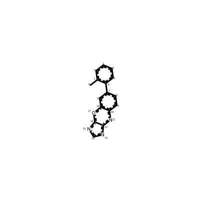 Cc1ccccc1-c1ccc2nc3ncnc-3oc2c1